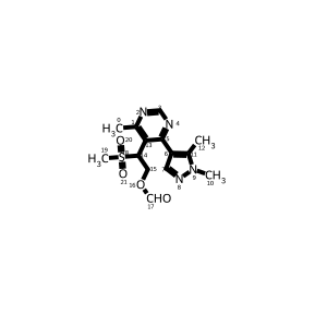 Cc1ncnc(-c2cnn(C)c2C)c1C(COC=O)S(C)(=O)=O